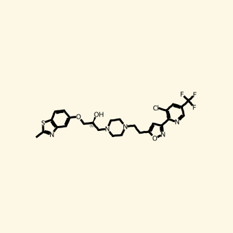 Cc1nc2cc(OC[C@@H](O)CN3CCN(CCc4cc(-c5ncc(C(F)(F)F)cc5Cl)no4)CC3)ccc2s1